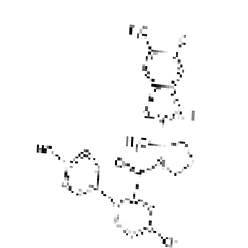 Cc1ccc(-c2ccc(C#N)cc2)c(C(=O)N2CCC[C@@]2(C)c2nc3cc(C(F)(F)F)c(Cl)cc3[nH]2)c1